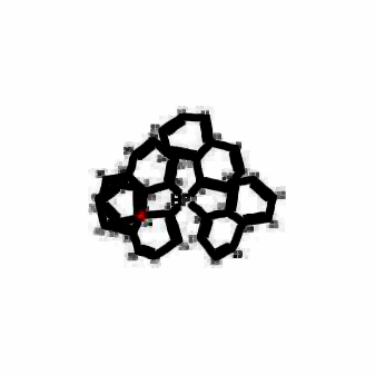 c1ccc2c([PH](c3cccc4ccccc34)(c3cccc4ccccc34)c3cccc4ccccc34)cccc2c1